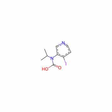 CC(C)N(C(=O)O)c1cnccc1I